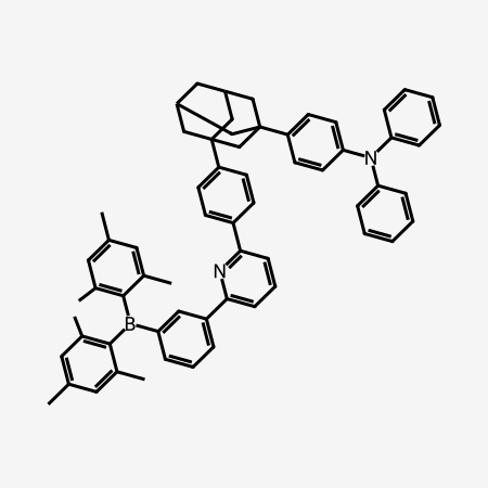 Cc1cc(C)c(B(c2cccc(-c3cccc(-c4ccc(C56CC7CC(C5)CC(c5ccc(N(c8ccccc8)c8ccccc8)cc5)(C7)C6)cc4)n3)c2)c2c(C)cc(C)cc2C)c(C)c1